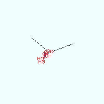 CCCCCCCCCCCCCCCCOC[C@H](COP(=O)(O)OC[C@@H](O)CO)OC(=O)CCCCCCCCCCCCCCC